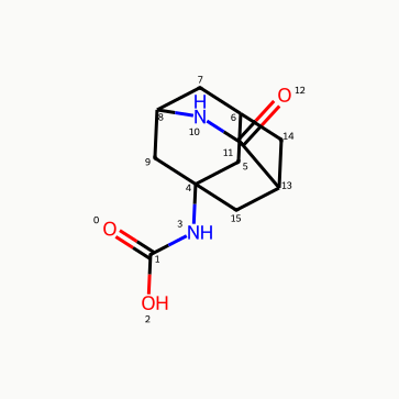 O=C(O)NC12CC3CC(C1)NC(=O)C(C3)C2